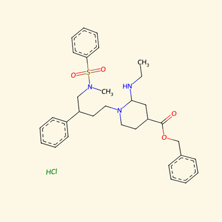 CCNC1CC(C(=O)OCc2ccccc2)CCN1CCC(CN(C)S(=O)(=O)c1ccccc1)c1ccccc1.Cl